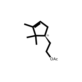 CC(=O)OCC[C@@H]1CC=C(C)C1(C)C